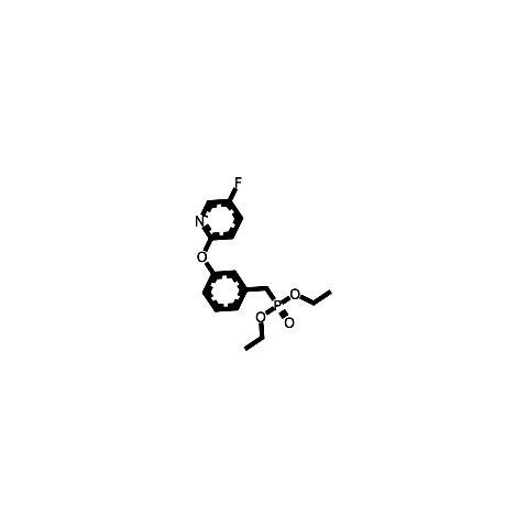 CCOP(=O)(Cc1cccc(Oc2ccc(F)cn2)c1)OCC